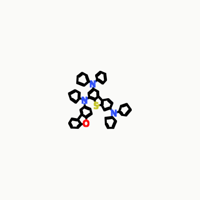 c1ccc(N(c2ccccc2)c2ccc3c(c2)sc2c(N(c4ccccc4)c4ccc5oc6ccccc6c5c4)cc(N(c4ccccc4)c4ccccc4)cc23)cc1